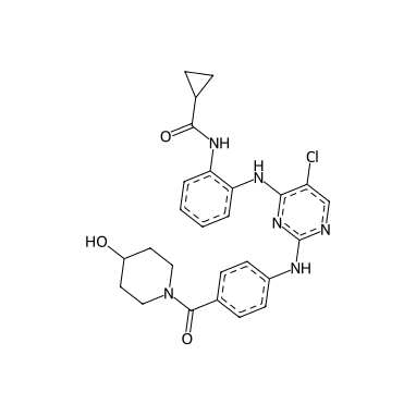 O=C(Nc1ccccc1Nc1nc(Nc2ccc(C(=O)N3CCC(O)CC3)cc2)ncc1Cl)C1CC1